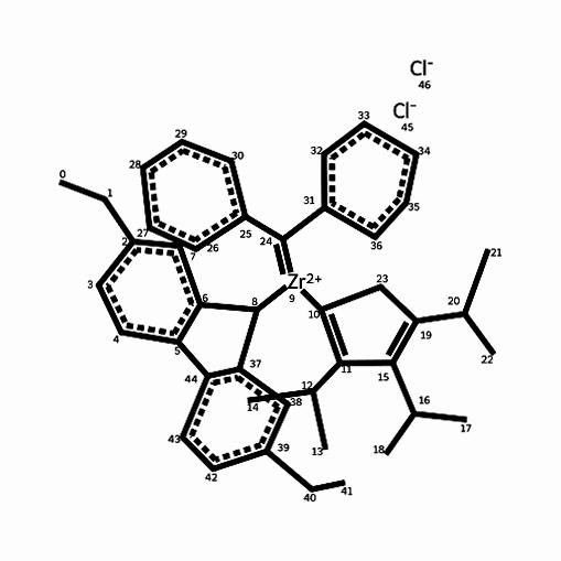 CCc1ccc2c(c1)[CH]([Zr+2]([C]1=C(C(C)C)C(C(C)C)=C(C(C)C)C1)=[C](c1ccccc1)c1ccccc1)c1cc(CC)ccc1-2.[Cl-].[Cl-]